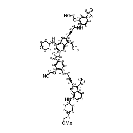 COCCN1CCC(Nc2cccc3c(CC(F)(F)F)c(C#CCNc4ccc(P(C)(=O)Cc5cc(NC6CCOCC6)c6sc(C#CCNc7ccc(P(C)(C)=O)cc7OCC#N)c(CC(F)(F)F)c6c5)cc4OCC#N)sc23)CC1